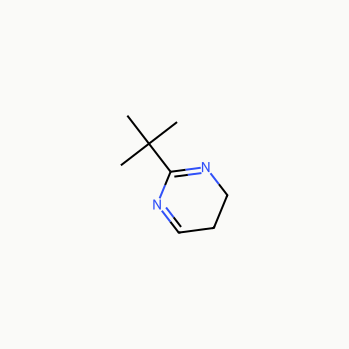 CC(C)(C)C1=NCCC=N1